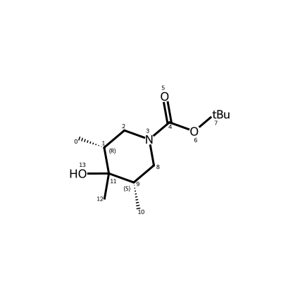 C[C@@H]1CN(C(=O)OC(C)(C)C)C[C@H](C)C1(C)O